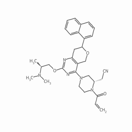 C=CC(=O)N1CCN(c2nc(OC[C@H](C)N(C)C)nc3c2COC(c2cccc4ccccc24)C3)C[C@@H]1CC#N